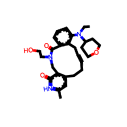 CCN(c1cccc2c1C/C=C/CCc1cc(C)[nH]c(=O)c1CN(CCO)C2=O)C1CCOCC1